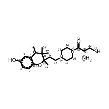 CC1c2cc(O)ccc2OC(C)(CCN2CCN(C(=O)[C@@H](N)CS)CC2)C1(C)C